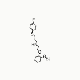 CCOc1ccccc1OCCNCCCSc1ccc(F)cc1